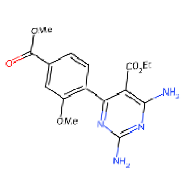 CCOC(=O)c1c(N)nc(N)nc1-c1ccc(C(=O)OC)cc1OC